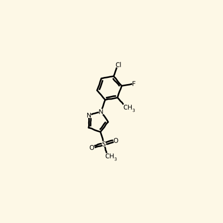 Cc1c(-n2cc(S(C)(=O)=O)cn2)ccc(Cl)c1F